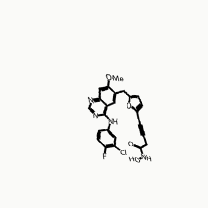 COc1cc2ncnc(Nc3ccc(F)c(Cl)c3)c2cc1Cc1ccc(C#CCC(=O)NO)o1